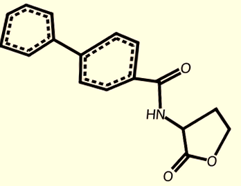 O=C(NC1CCOC1=O)c1ccc(-c2ccccc2)cc1